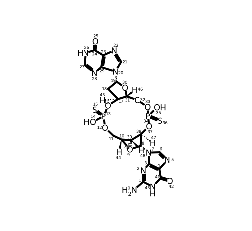 Nc1nc2c(ncn2[C@@H]2O[C@@H]3COP(O)(=S)O[C@H]4C[C@H](n5cnc6c(=O)[nH]cnc65)O[C@@H]4COP(O)(=S)O[C@@H]2[C@@H]3F)c(=O)[nH]1